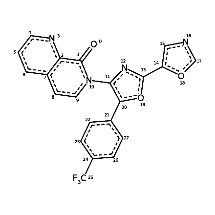 O=c1c2ncccc2ccn1-c1nc(-c2cnco2)oc1-c1ccc(C(F)(F)F)cc1